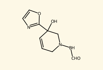 O=CBN1CC=CC(O)(c2ncco2)C1